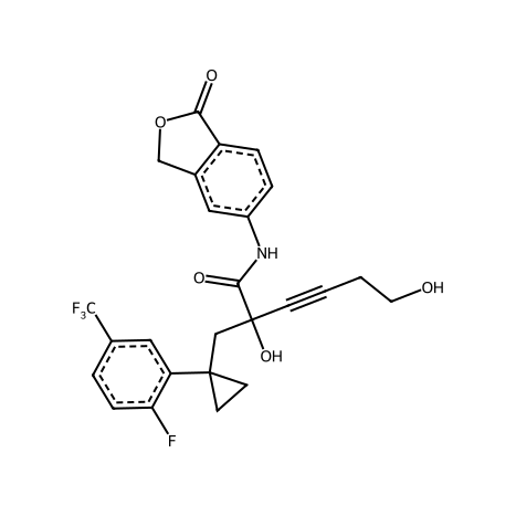 O=C1OCc2cc(NC(=O)C(O)(C#CCCO)CC3(c4cc(C(F)(F)F)ccc4F)CC3)ccc21